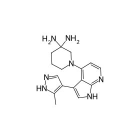 Cc1[nH]ncc1-c1c[nH]c2nccc(N3CCCC(N)(N)C3)c12